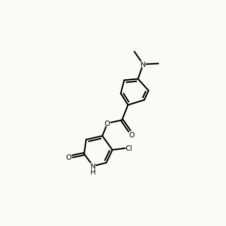 CN(C)c1ccc(C(=O)Oc2cc(=O)[nH]cc2Cl)cc1